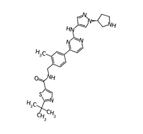 Cc1cc(-c2ccnc(Nc3cnn([C@H]4CCNC4)c3)n2)ccc1CNC(=O)c1cnc(C(C)(C)C)s1